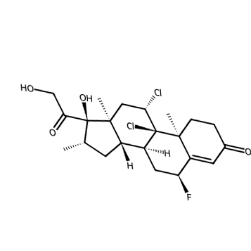 C[C@H]1C[C@H]2[C@@H]3C[C@H](F)C4=CC(=O)CC[C@]4(C)[C@@]3(Cl)[C@@H](Cl)C[C@]2(C)[C@@]1(O)C(=O)CO